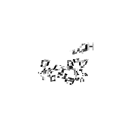 O=C(ON1C(=O)CCC1=O)C(OCCO)N1C(=O)CCC1=O